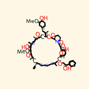 C#C[C@@H]1/C=C/C=C/C=C(\C)C(OC[C@@H](O)c2ccccc2)C[C@@H]2CC[C@@H](C)[C@@](O)(O2)C(=O)C(=O)N2CCCCC2C(=O)O[C@H]([C@H](C)C[C@@H]2CC[C@@H](O)[C@H](OC)C2)CC(=O)[C@H](C)/C=C(\C)[C@@H](O)[C@@H](OC)C(=O)[C@H](C)C1